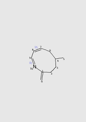 C=C1CCC(C)C/C=C\C=N/1